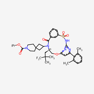 Cc1cccc(C)c1-c1cc2nc(n1)NS(=O)(=O)c1cccc(c1)C(=O)N(C1CC3(CCN(C(=O)OC(C)C)CC3)C1)[C@H](CC(C)(C)C(F)(F)F)CO2